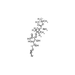 CC(C)(C)OC(=O)[C@H](N)C(C)(C)[Si](C)(C)OOC(C(=O)O)[C@H](O)C(O)C(O)CON=[N+]=[N-]